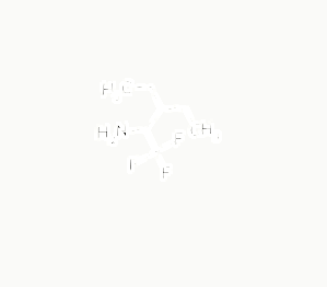 CCC(CC)C(N)C(F)(F)F